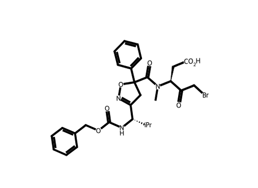 CC(C)[C@H](NC(=O)OCc1ccccc1)C1=NOC(C(=O)N(C)[C@@H](CC(=O)O)C(=O)CBr)(c2ccccc2)C1